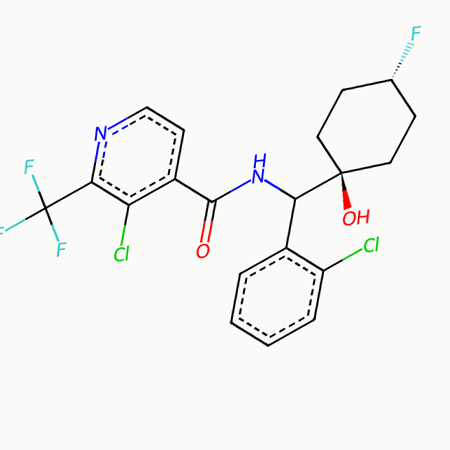 O=C(NC(c1ccccc1Cl)[C@]1(O)CC[C@H](F)CC1)c1ccnc(C(F)(F)F)c1Cl